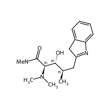 CNC(=O)[C@@H]([C@H](O)[C@H](C)CC1=Nc2ccccc2C1)N(C)C